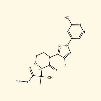 CC(C)(C)OC(=O)C(C)(O)[C@H]1OCCN(c2nn(-c3cnnc(C#N)c3)cc2F)C1=O